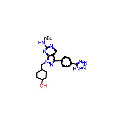 CCCCNc1ncc2c(-c3ccc(-c4nnn[nH]4)cc3)nn(CC3CCC(O)CC3)c2n1